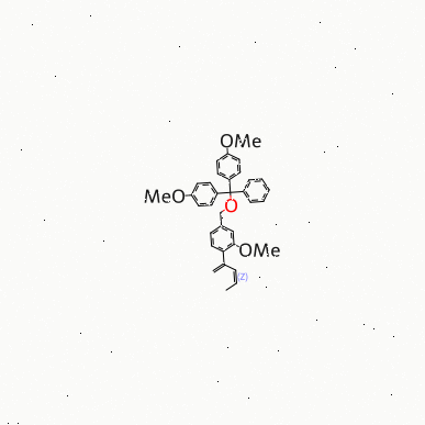 C=C(/C=C\C)c1ccc(COC(c2ccccc2)(c2ccc(OC)cc2)c2ccc(OC)cc2)cc1OC